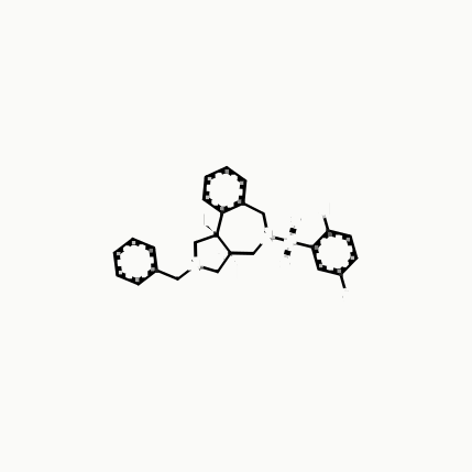 O=S(=O)(c1cc(Cl)ccc1Cl)N1Cc2ccccc2[C@H]2CN(Cc3ccccc3)C[C@@H]2C1